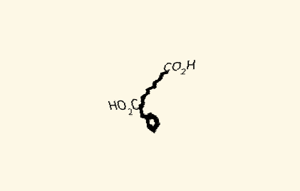 O=C(O)CCCCCCCCCC(Cc1ccccc1)C(=O)O